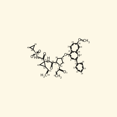 C=CC(=O)N1C[C@H](Oc2cc(-c3ccccc3)nc3cc(OC)ccc23)CC1C(=O)N[C@]1(C(=O)NS(=O)(=O)C2CC2)CC1C=C